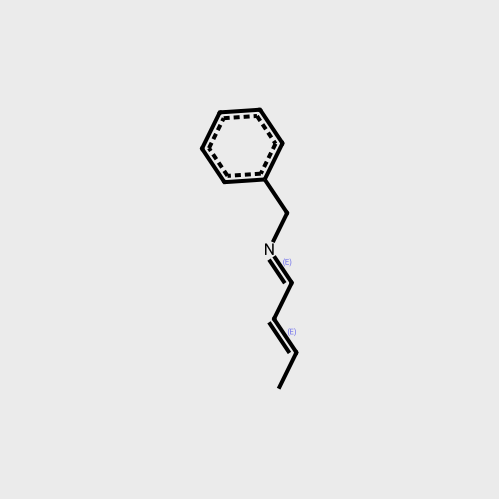 C/C=C/C=N/Cc1ccccc1